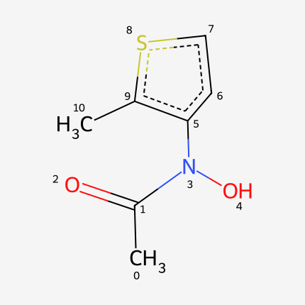 CC(=O)N(O)c1ccsc1C